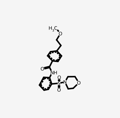 COCCc1ccc(C(=O)Nc2ccccc2S(=O)(=O)N2CCOCC2)cc1